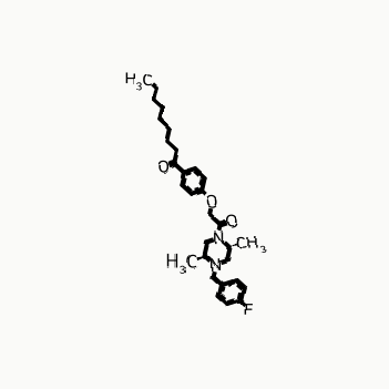 CCCCCCCCC(=O)c1ccc(OCC(=O)N2C[C@H](C)N(Cc3ccc(F)cc3)C[C@H]2C)cc1